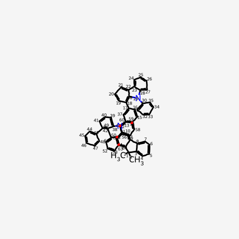 CC1(C)c2ccccc2-c2cc(N(c3cccc(-c4cccc5c6ccccc6n(-c6ccccc6)c45)c3)c3cccc(-c4ccccc4)c3-c3ccccc3-c3ccccc3)ccc21